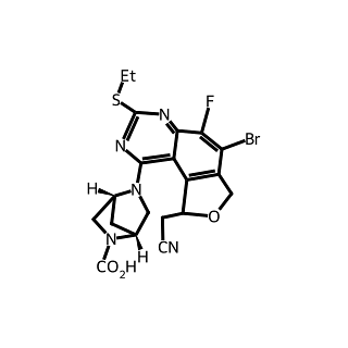 CCSc1nc(N2C[C@H]3C[C@@H]2CN3C(=O)O)c2c3c(c(Br)c(F)c2n1)COC3CC#N